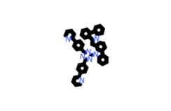 c1ccc(-c2ccc(-c3nc(-c4ccc(-c5ccccn5)cc4)nc(-n4c5ccccc5c5ccc6c(cc7c8ccccc8c8ccccc8n76)c54)n3)cc2)nc1